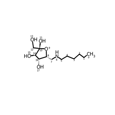 CCCCCCNC[C@H]1O[C@@](O)(CO)[C@H](O)[C@H]1O